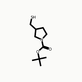 CC(C)(C)OC(=O)N1CCC(CS)C1